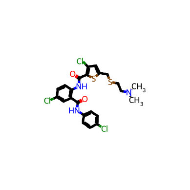 CN(C)CCSCc1cc(Cl)c(C(=O)Nc2ccc(Cl)cc2C(=O)Nc2ccc(Cl)cc2)s1